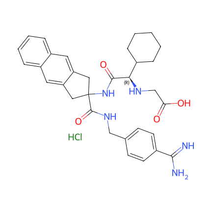 Cl.N=C(N)c1ccc(CNC(=O)C2(NC(=O)[C@H](NCC(=O)O)C3CCCCC3)Cc3cc4ccccc4cc3C2)cc1